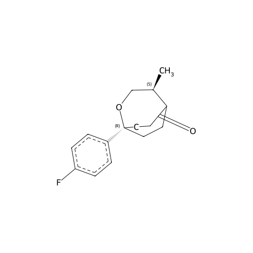 C[C@@H]1CO[C@@]2(c3ccc(F)cc3)CCC(=O)C1CC2